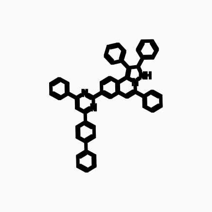 C1=C(c2ccccc2)N2NC(c3ccccc3)C(c3ccccc3)=C2c2ccc(-c3nc(-c4ccccc4)cc(-c4ccc(-c5ccccc5)cc4)n3)cc21